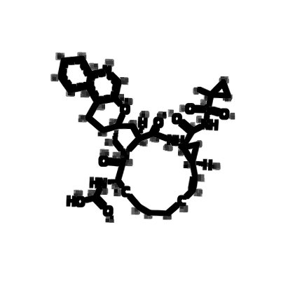 CC1(S(=O)(=O)NC(=O)[C@@]23C[C@H]2C=CCCCCC[C@H](NC(=O)O)C(=O)N2C[C@@]4(CCc5c(cnc6ccccc56)O4)C[C@H]2C(=O)N3)CC1